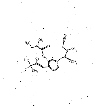 C#CCN(C)C(C)c1ccc(/C=[N+](\[O-])C(C)(C)C)c(OC(=O)N(C)CC)c1